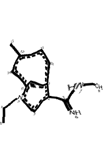 CCn1cc(C(=N)NO)c2ccc(C)cc21